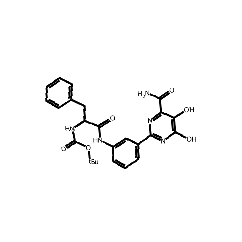 CC(C)(C)OC(=O)NC(Cc1ccccc1)C(=O)Nc1cccc(-c2nc(O)c(O)c(C(N)=O)n2)c1